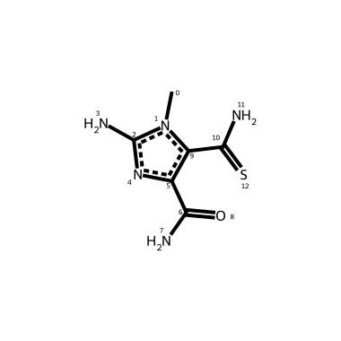 Cn1c(N)nc(C(N)=O)c1C(N)=S